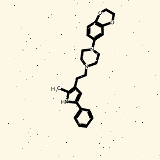 Cc1[nH]c(-c2ccccc2)cc1CCN1CCN(c2ccc3c(c2)OCCO3)CC1